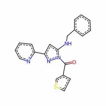 O=C(c1ccsc1)n1nc(-c2ccccn2)cc1NCc1ccccc1